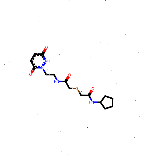 O=C(CSCC(=O)NC1CCCC1)NCCn1[nH]c(=O)ccc1=O